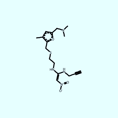 C#CCNC(=C[N+](=O)[O-])NCCSCc1oc(CN(C)C)cc1C